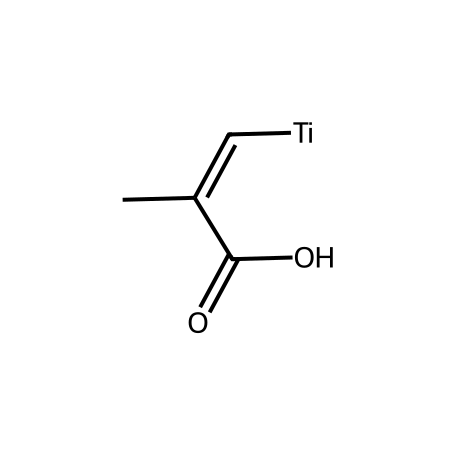 CC(=[CH][Ti])C(=O)O